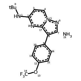 CC(C)(C)Nc1ccn2ncc(-c3ccc(OC(F)(F)F)cc3)c2n1.N